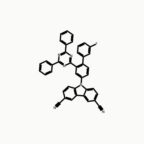 N#Cc1ccc2c(c1)c1cc(C#N)ccc1n2-c1ccc(-c2cccc(F)c2)c(-c2nc(-c3ccccc3)nc(-c3ccccc3)n2)c1